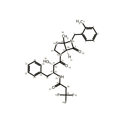 Cc1ccccc1CN1C(=O)[C@H]2N(C(=O)[C@@H](O)[C@H](Cc3ccccc3)NC(=O)CC(F)(F)F)CSC21C